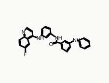 O=C(Nc1cccc(Nc2ccnc3ccc(F)cc23)c1)c1cccc(Nc2ccccc2)c1